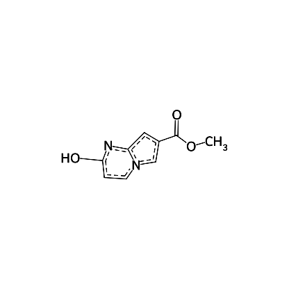 COC(=O)c1cc2nc(O)ccn2c1